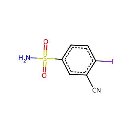 N#Cc1cc(S(N)(=O)=O)ccc1I